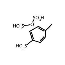 Cc1ccc(S(=O)(=O)O)cc1.O=S(=O)(O)OS(=O)(=O)O